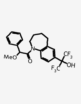 COC(C(=O)N1CCCCc2cc(C(O)(C(F)(F)F)C(F)(F)F)ccc21)c1ccccc1